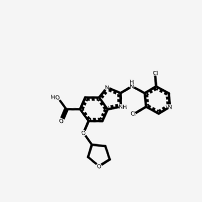 O=C(O)c1cc2nc(Nc3c(Cl)cncc3Cl)[nH]c2cc1OC1CCOC1